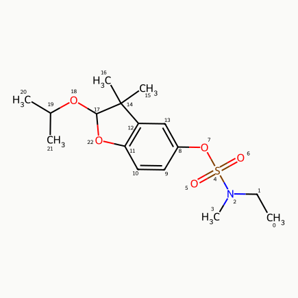 CCN(C)S(=O)(=O)Oc1ccc2c(c1)C(C)(C)C(OC(C)C)O2